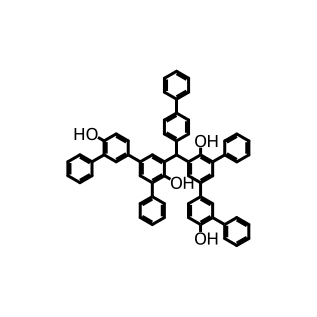 Oc1ccc(-c2cc(-c3ccccc3)c(O)c(C(c3ccc(-c4ccccc4)cc3)c3cc(-c4ccc(O)c(-c5ccccc5)c4)cc(-c4ccccc4)c3O)c2)cc1-c1ccccc1